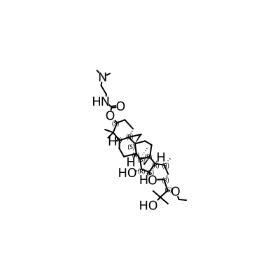 CCO[C@@H]([C@H]1C[C@@H](C)[C@H]2[C@H](O1)[C@H](O)[C@@]1(C)[C@@H]3CC[C@H]4C(C)(C)[C@@H](OC(=O)NCCN(C)C)CC[C@@]45C[C@@]35CC[C@]21C)C(C)(C)O